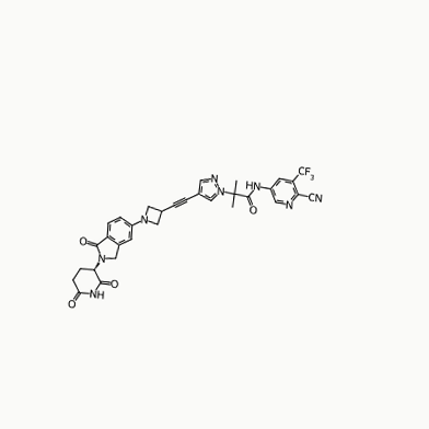 CC(C)(C(=O)Nc1cnc(C#N)c(C(F)(F)F)c1)n1cc(C#CC2CN(c3ccc4c(c3)CN([C@@H]3CCC(=O)NC3=O)C4=O)C2)cn1